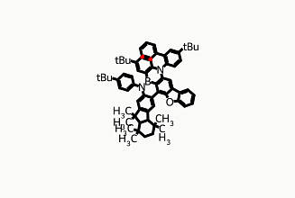 CC(C)(C)c1ccc(N2B3c4cc(C(C)(C)C)ccc4N(c4ccc(C(C)(C)C)cc4-c4ccccc4)c4cc5c(oc6ccccc65)c(c43)-c3cc4c(cc32)C(C)(C)C2C4C(C)(C)CCC2(C)C)cc1